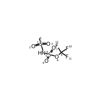 CS(=O)(=O)NS(=O)(=O)OC(F)(F)F